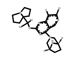 [2H]C([2H])(Oc1nc(N2C[C@H]3CC[C@@H](C2)N3)c2cnc(Cl)c(F)c2n1)C12CCCN1CCC2